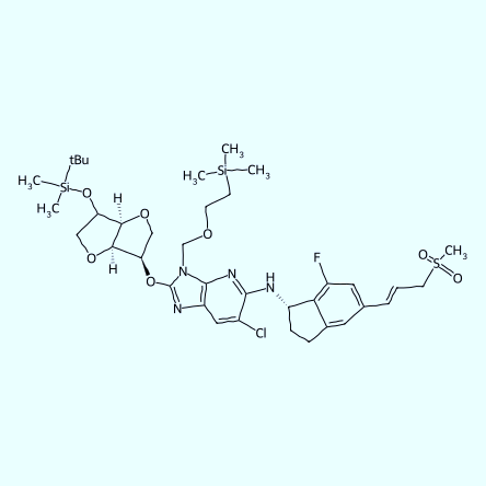 CC(C)(C)[Si](C)(C)OC1CO[C@H]2[C@@H]1OC[C@H]2Oc1nc2cc(Cl)c(N[C@H]3CCc4cc(/C=C/CS(C)(=O)=O)cc(F)c43)nc2n1COCC[Si](C)(C)C